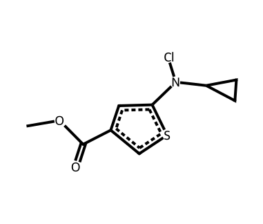 COC(=O)c1csc(N(Cl)C2CC2)c1